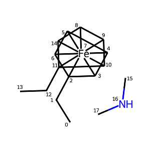 CC[C]12[CH]3[CH]4[CH]5[CH]1[Fe]45321678[CH]2[CH]1[CH]6[C]7(CC)[CH]28.CNC